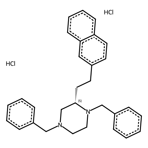 Cl.Cl.c1ccc(CN2CCN(Cc3ccccc3)[C@@H](CCc3ccc4ccccc4c3)C2)cc1